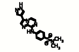 CN(C)S(=O)(=O)c1ccc(Nc2nccn3c(-c4cn[nH]c4)cnc23)cc1